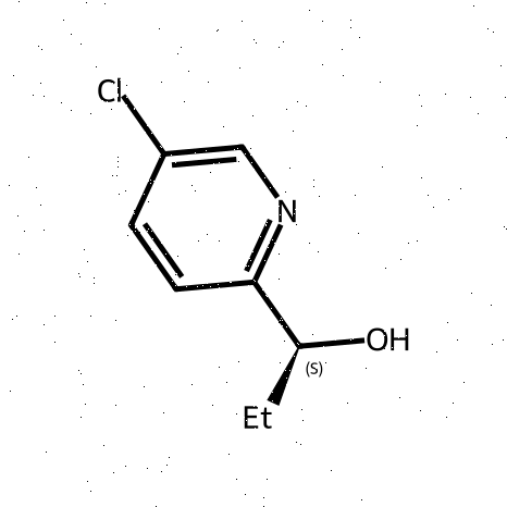 CC[C@H](O)c1ccc(Cl)cn1